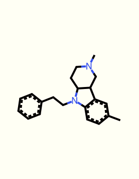 Cc1ccc2c(c1)C1CN(C)CCC1N2CCc1ccccc1